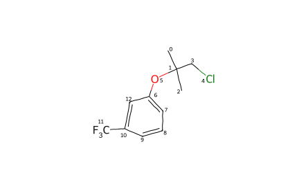 CC(C)(CCl)Oc1cccc(C(F)(F)F)c1